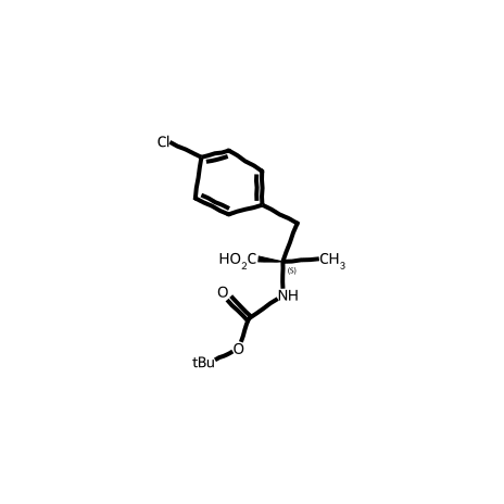 CC(C)(C)OC(=O)N[C@@](C)(Cc1ccc(Cl)cc1)C(=O)O